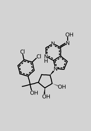 CC(O)(c1ccc(Cl)c(Cl)c1)C1C[C@@H](n2ccc3/c(=N/O)nc[nH]c32)[C@H](O)[C@H]1O